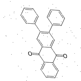 O=C1c2ccccc2C(=O)c2cc(-c3ccccc3)c(-c3ccccc3)cc21